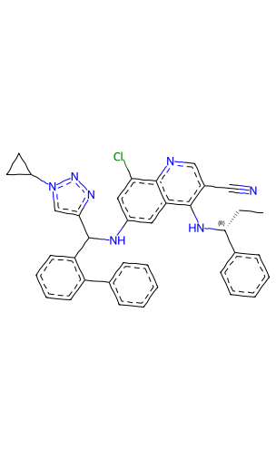 CC[C@@H](Nc1c(C#N)cnc2c(Cl)cc(NC(c3cn(C4CC4)nn3)c3ccccc3-c3ccccc3)cc12)c1ccccc1